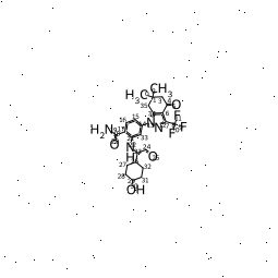 CC1(C)CC(=O)c2c(C(F)(F)F)nn(-c3ccc(C(N)=O)c(NC(C=O)C4CCC(O)CC4)c3)c2C1